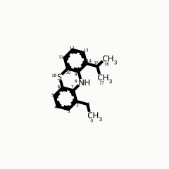 CCc1cccc2c1Nc1c(cccc1C(C)C)S2